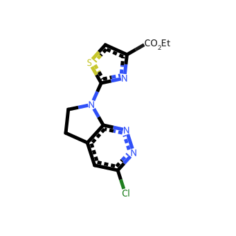 CCOC(=O)c1csc(N2CCc3cc(Cl)nnc32)n1